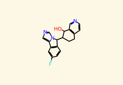 OC1c2cnccc2CCC1C1c2ccc(F)cc2-c2cncn21